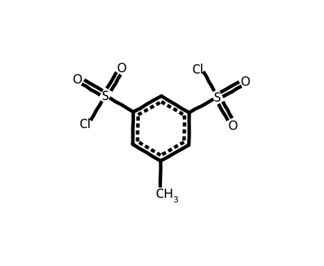 Cc1cc(S(=O)(=O)Cl)cc(S(=O)(=O)Cl)c1